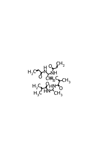 C=C(C)C(=O)NC(C)NC(=O)C(=C)C.C=CC(=O)NC(C)NC(=O)C=C